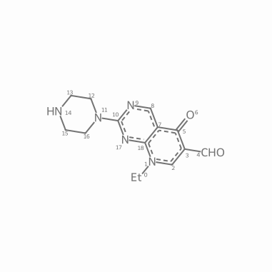 CCn1cc(C=O)c(=O)c2cnc(N3CCNCC3)nc21